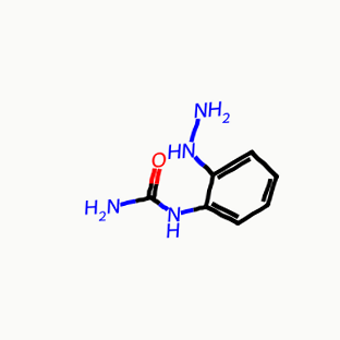 NNc1ccccc1NC(N)=O